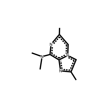 Cc1cn2cc(C)nc2c(N(C)C)n1